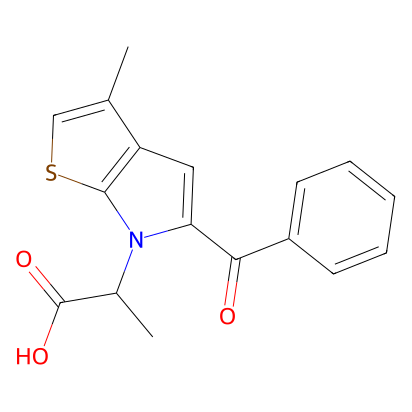 Cc1csc2c1cc(C(=O)c1ccccc1)n2C(C)C(=O)O